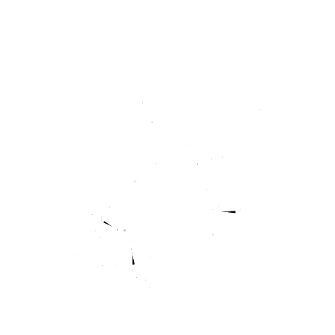 COCOc1cc2c(c(OCOC)c1)C(=O)O[C@@H](C)CCCC(=O)[C@@H]1OC(C)(C)O[C@@H]1C/C=C/2